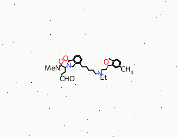 CCN(CCCCCc1cccc2c1CN(C(CCC=O)C(=O)NC)C2=O)CC[C@H]1OCc2ccc(C)cc21